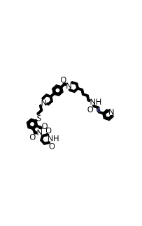 O=C(/C=C/c1cccnc1)NCCCCC1CCN(C(=O)c2ccc(C3CCN(CCCSc4cccc5c4C(=O)N(C4CCC(=O)NC4=O)C5=O)CC3)cc2)CC1